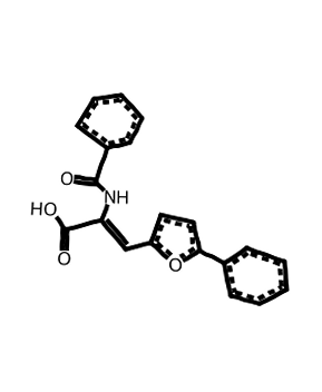 O=C(O)C(=Cc1ccc(-c2ccccc2)o1)NC(=O)c1ccccc1